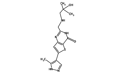 Cc1[nH]ncc1-c1cc2nc(CNCC(C)(C)O)[nH]c(=O)c2s1